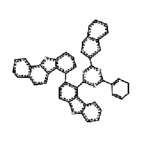 C1=CC(c2nc(-c3ccc4ccccc4c3)nc(-c3c(-c4cccc5oc6c7ccccc7ccc6c45)ccc4oc5ccccc5c34)n2)=CCC1